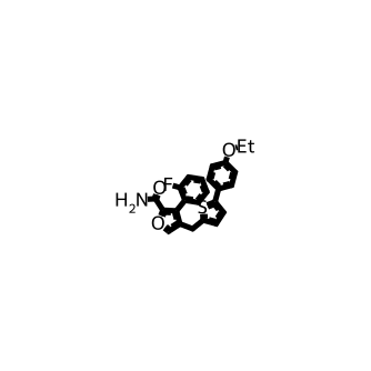 CCOc1ccc(-c2ccc(Cc3coc(C(N)=O)c3-c3ccccc3F)s2)cc1